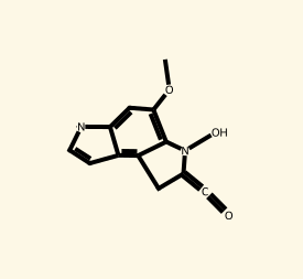 COc1cc2c(c3c1N(O)C(=C=O)C3)C=C[N]2